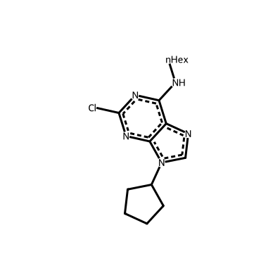 CCCCCCNc1nc(Cl)nc2c1ncn2C1CCCC1